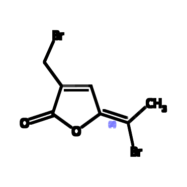 C/C(Br)=C1\C=C(CBr)C(=O)O1